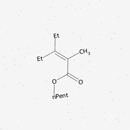 CCCCCOC(=O)C(C)=C(CC)CC